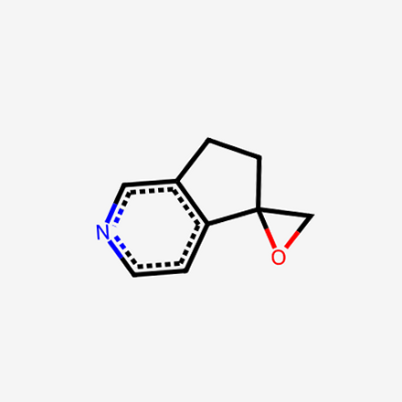 c1cc2c(cn1)CCC21CO1